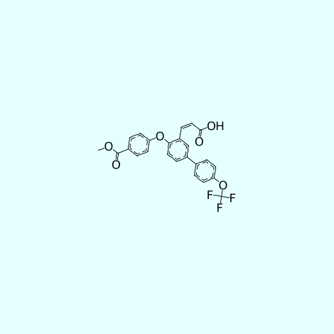 COC(=O)c1ccc(Oc2ccc(-c3ccc(OC(F)(F)F)cc3)cc2/C=C\C(=O)O)cc1